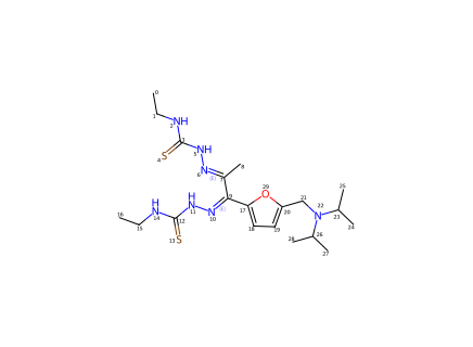 CCNC(=S)N/N=C(C)/C(=N\NC(=S)NCC)c1ccc(CN(C(C)C)C(C)C)o1